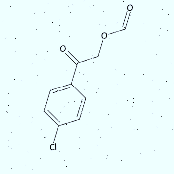 O=COCC(=O)c1ccc(Cl)cc1